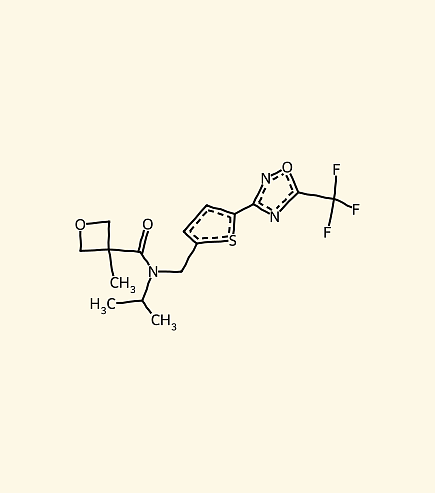 CC(C)N(Cc1ccc(-c2noc(C(F)(F)F)n2)s1)C(=O)C1(C)COC1